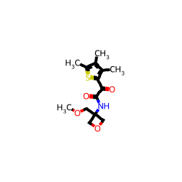 COCC1(NC(=O)C(=O)c2sc(C)c(C)c2C)COC1